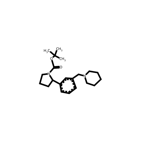 CC(C)(C)OC(=O)N1CCCC1c1cccc(CN2CCCCC2)c1